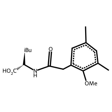 CC[C@H](C)[C@H](NC(=O)Cc1cc(C)cc(C)c1OC)C(=O)O